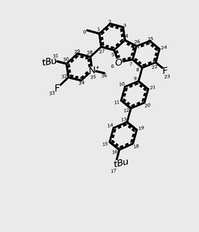 Cc1ccc2c(oc3c(-c4ccc(-c5ccc(C(C)(C)C)cc5)cc4)c(F)ccc32)c1-c1cc(C(C)(C)C)c(F)c[n+]1C